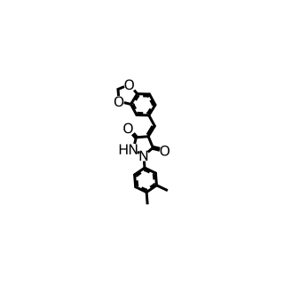 Cc1ccc(N2NC(=O)C(=Cc3ccc4c(c3)OCO4)C2=O)cc1C